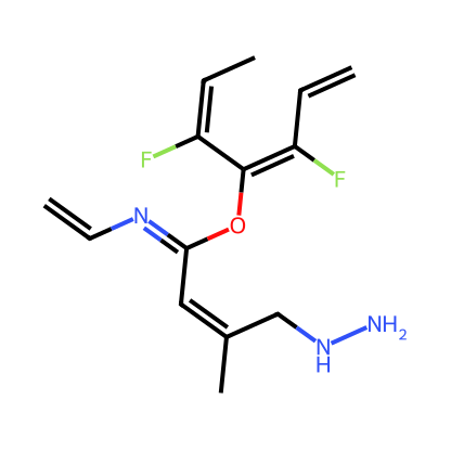 C=C/N=C(\C=C(\C)CNN)OC(=C(\F)C=C)/C(F)=C\C